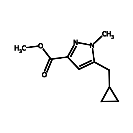 COC(=O)c1cc(CC2CC2)n(C)n1